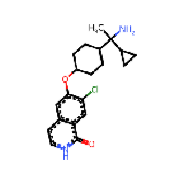 CC(N)(C1CCC(Oc2cc3cc[nH]c(=O)c3cc2Cl)CC1)C1CC1